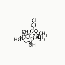 COc1cc([C@H](CC=C(C)C)OC(=O)c2ccc(Cl)cc2)c(OC)c2c1/C(=N/O)C=C/C2=N\O